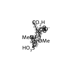 COCC[N+]1=C(/C=C/C=C/C=C2/N(CCCCCC(=O)O)c3ccc(S(=O)(=O)[O-])cc3C2(C)CCOC)C(C)(CCOC)c2cc(S(=O)(=O)O)ccc21